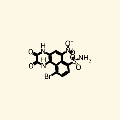 NS(=O)(=O)c1ccc(Br)c2c1c([N+](=O)[O-])cc1[nH]c(=O)c(=O)[nH]c12